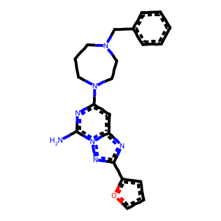 Nc1nc(N2CCCN(Cc3ccccc3)CC2)cc2nc(-c3ccco3)nn12